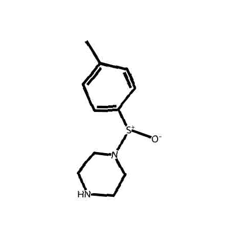 Cc1ccc([S+]([O-])N2CCNCC2)cc1